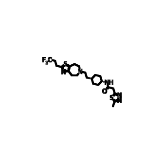 Cc1nnc(CC(=O)N[C@H]2CC[C@H](CCN3CCc4nc(CCC(F)(F)F)sc4CC3)CC2)s1